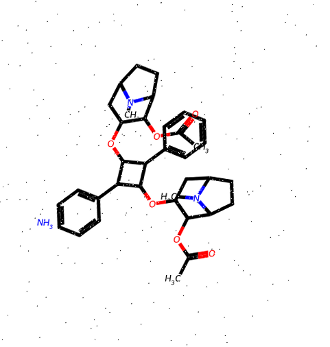 CC(=O)OC1C(OC2C(c3ccccc3)C(OC3CC4CCC(C3OC(C)=O)N4C)C2c2ccccc2)CC2CCC1N2C.N